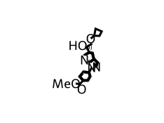 COC(=O)c1ccc(-n2ncc3cc([C@H](O)COC4CCC4)cnc32)cc1